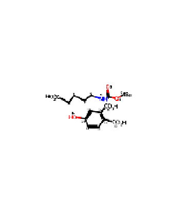 CC(C)(C)OC(=O)NCCCCC(=O)O.O=C(O)c1ccc(O)cc1C(=O)O